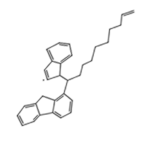 C=CCCCCCCCC(c1cccc2c1Cc1ccccc1-2)C1[C]=Cc2ccccc21